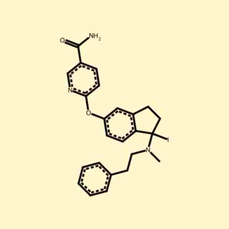 CN(CCc1ccccc1)C1(I)CCc2cc(Oc3ccc(C(N)=O)cn3)ccc21